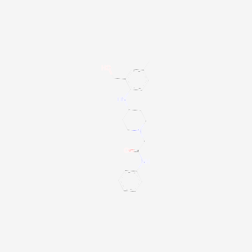 Cc1ccc(NC2CCN(CC(=O)Nc3ccccc3)CC2)c(CO)c1